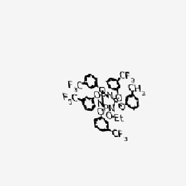 CCOP1(Oc2cccc(C(F)(F)F)c2)=NP(Oc2cccc(C(F)(F)F)c2)(Oc2cccc(C(F)(F)F)c2)=NP(Oc2cccc(C)c2)(Oc2cccc(C(F)(F)F)c2)=N1